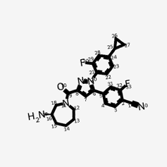 N#Cc1ccc(-c2cc(C(=O)N3CCCC[C@@H](N)C3)nn2-c2ccc(C3CC3)cc2F)cc1F